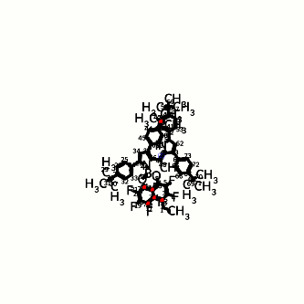 CCc1c(F)c(F)c(OB(Oc2c(F)c(F)c(F)c(F)c2F)n2c(-c3ccc(C(C)(C)C)cc3)cc(-c3ccc(C(C)(C)C)cc3)c2/C(C)=C2\NC(c3ccc(C(C)(C)C)cc3)C=C2c2ccc(C(C)(C)C)cc2)c(F)c1F